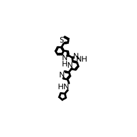 c1csc(-c2cccc3[nH]c(-c4n[nH]c5ccc(-c6cncc(CNCC7CCCC7)c6)nc45)cc23)c1